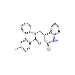 Cc1cnc(C(=O)N(Cc2cc(=O)[nH]c3ccccc23)c2ccccc2)cn1